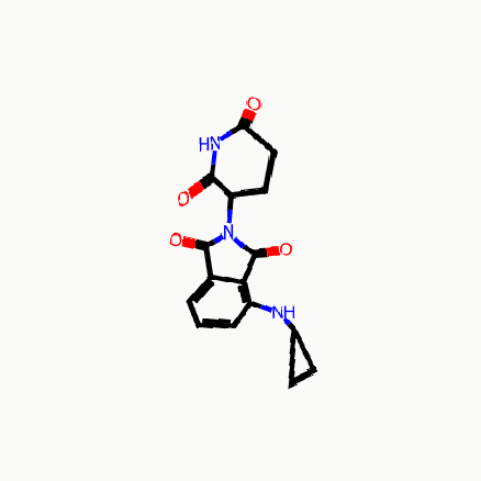 O=C1CCC(N2C(=O)c3cccc(NC4CC4)c3C2=O)C(=O)N1